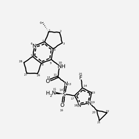 C[C@@H]1CCc2c1nc1c(c2NC(=O)N=[S@@](N)(=O)c2nn(C3CC3)cc2F)CCC1